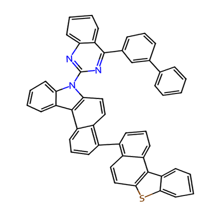 c1ccc(-c2cccc(-c3nc(-n4c5ccccc5c5c6cccc(-c7cccc8c7ccc7sc9ccccc9c78)c6ccc54)nc4ccccc34)c2)cc1